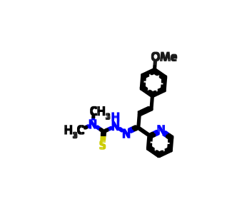 COc1ccc(/C=C/C(=N\NC(=S)N(C)C)c2ccccn2)cc1